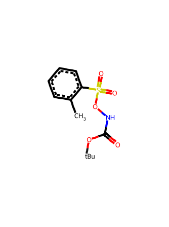 Cc1ccccc1S(=O)(=O)ONC(=O)OC(C)(C)C